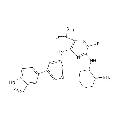 NC(=O)c1cc(F)c(NC2CCCC[C@@H]2N)nc1Nc1cncc(-c2ccc3[nH]ccc3c2)c1